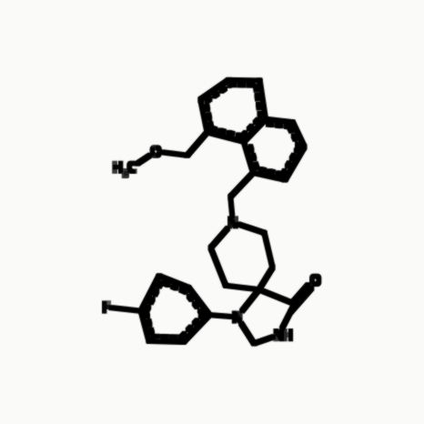 COCc1cccc2cccc(CN3CCC4(CC3)C(=O)NCN4c3ccc(F)cc3)c12